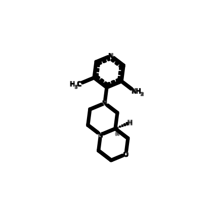 Cc1cncc(N)c1N1CCN2CCOC[C@@H]2C1